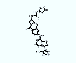 O=C(NC1CN(C(=O)c2ccc(Nc3nccn4c(-c5c[nH]nc5C(F)(F)F)cnc34)cc2Cl)C1)N[C@@H]1CCNC1